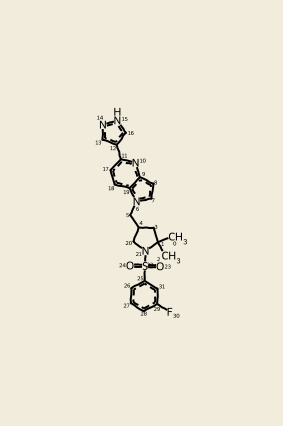 CC1(C)CC(Cn2ccc3nc(-c4cn[nH]c4)ccc32)CN1S(=O)(=O)c1cccc(F)c1